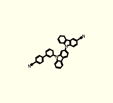 N#Cc1ccc(C2=CC(n3c4ccccc4c4ccc(-n5c6c(c7cc(C#N)ccc75)CCC=C6)cc43)CC=C2)cc1